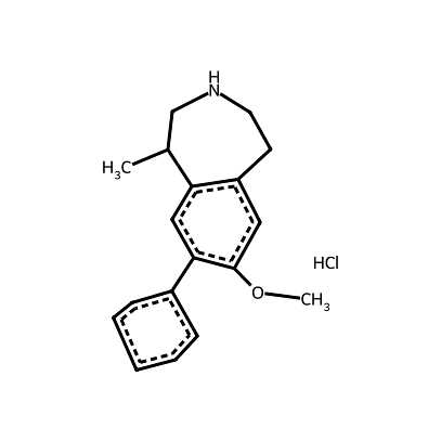 COc1cc2c(cc1-c1ccccc1)C(C)CNCC2.Cl